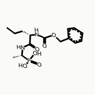 CCC[C@H](NC(=O)OCc1ccccc1)C(=O)N[C@@H](C)P(=O)(O)O